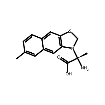 Cc1ccc2cc3c(cc2c1)N([C@](C)(N)C(=O)O)CS3